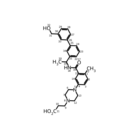 Cc1ccc(N2CCN(CCC(=O)O)CC2)cc1C(=O)NC(C)c1cccc(-c2cccc(CO)c2)c1